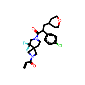 C=CC(=O)N1CC2(CCN(C(=O)C(CC3CCOCC3)c3ccc(Cl)cc3)CC2(F)F)C1